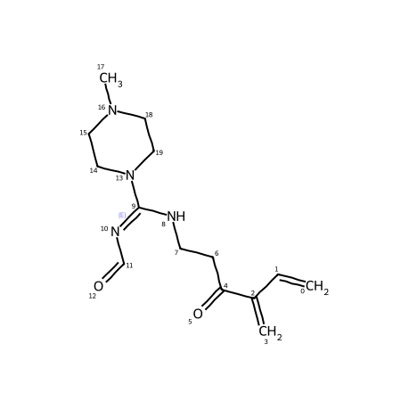 C=CC(=C)C(=O)CCN/C(=N\C=O)N1CCN(C)CC1